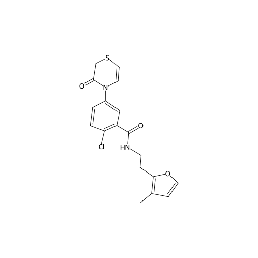 Cc1ccoc1CCNC(=O)c1cc(N2C=CSCC2=O)ccc1Cl